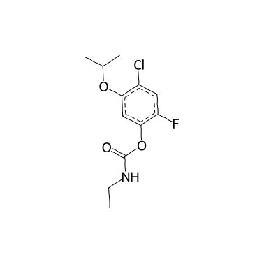 CCNC(=O)Oc1cc(OC(C)C)c(Cl)cc1F